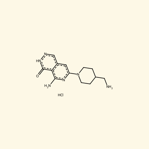 Cl.NCC1CCN(c2cc3cn[nH]c(=O)c3c(N)n2)CC1